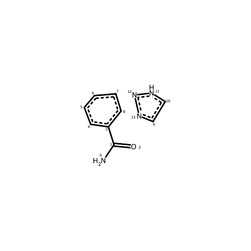 NC(=O)c1ccccc1.c1c[nH]nn1